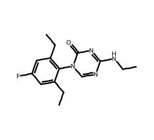 CCNc1ncn(-c2c(CC)cc(F)cc2CC)c(=O)n1